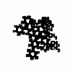 CC(C)(C)c1cc2c3c(c1)C(C)(C)c1cc(C(C)(C)C)cc4c1N3B(c1ccc(-c3ccccc3)cc1-2)c1ccc2c(c1-4)Oc1ccccc1N2c1ccccc1